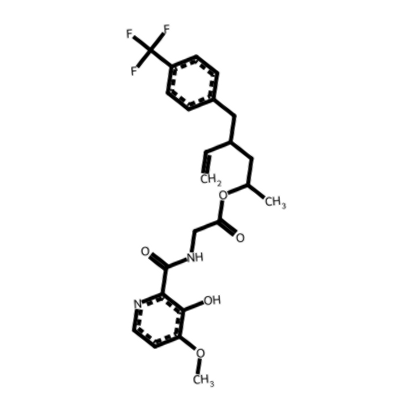 C=CC(Cc1ccc(C(F)(F)F)cc1)CC(C)OC(=O)CNC(=O)c1nccc(OC)c1O